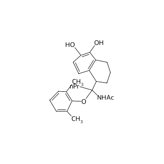 CCCC(NC(C)=O)(Oc1c(C)cccc1C)C1CCCc2c1ccc(O)c2O